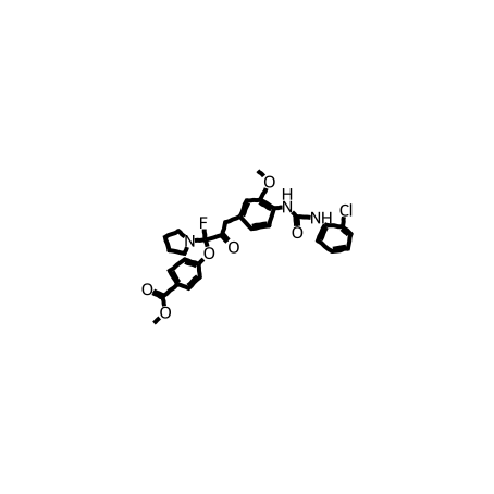 COC(=O)c1ccc(OC(F)(C(=O)Cc2ccc(NC(=O)Nc3ccccc3Cl)c(OC)c2)N2CCCC2)cc1